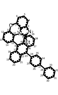 CCc1nc2cccc3c2n1-c1c(cccc1-c1c2ccccc2c(-c2ccc(-c4ccccc4)cc2)c2ccccc12)O3